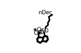 CCCCCCCCCCCCCCCCOC(=O)c1cccc2cccc(C(=O)OCCCCCCCC)c12